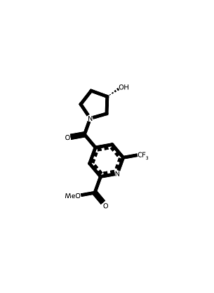 COC(=O)c1cc(C(=O)N2CC[C@H](O)C2)cc(C(F)(F)F)n1